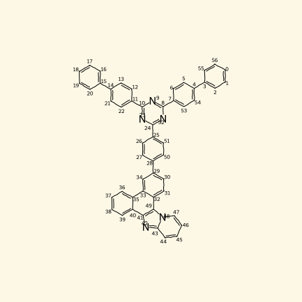 c1ccc(-c2ccc(-c3nc(-c4ccc(-c5ccccc5)cc4)nc(-c4ccc(-c5ccc6c(c5)c5ccccc5c5nc7ccccn7c65)cc4)n3)cc2)cc1